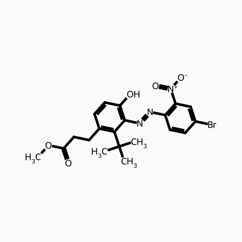 COC(=O)CCc1ccc(O)c(N=Nc2ccc(Br)cc2[N+](=O)[O-])c1C(C)(C)C